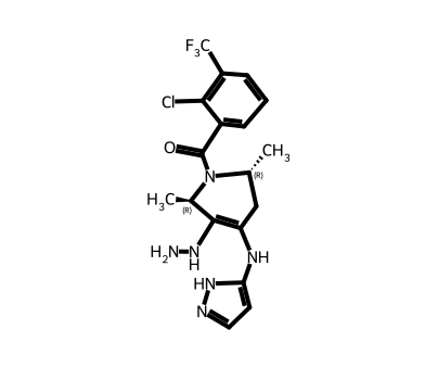 C[C@@H]1CC(Nc2ccn[nH]2)=C(NN)[C@@H](C)N1C(=O)c1cccc(C(F)(F)F)c1Cl